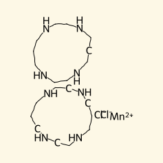 C1CNCCNCCCNCCNC1.C1CNCCNCCCNCCNC1.[Cl-].[Cl-].[Mn+2]